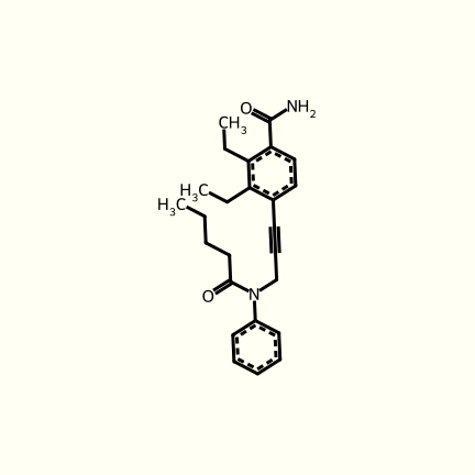 CCCCC(=O)N(CC#Cc1ccc(C(N)=O)c(CC)c1CC)c1ccccc1